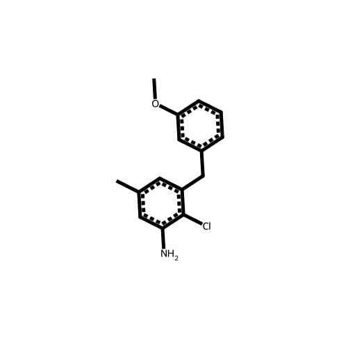 COc1cccc(Cc2cc(C)cc(N)c2Cl)c1